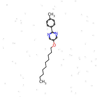 CCCCCCCCCCOc1cnc(-c2ccc(C)cc2)nc1